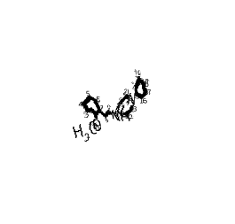 COc1ccccc1CCNN1CCN(c2ccccc2)CC1